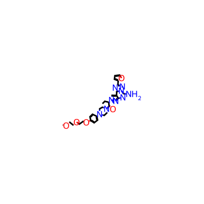 CCC(C(=O)N1CCN(c2ccc(OCCOCCOC)cc2)CC1)n1cc2c(nc(N)n3nc(-c4ccco4)nc23)n1